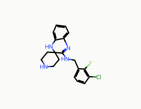 Fc1c(Cl)cccc1CNC1=Nc2ccccc2NC12CCNCC2